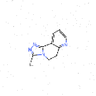 CCc1nnc2n1CCc1ncccc1-2